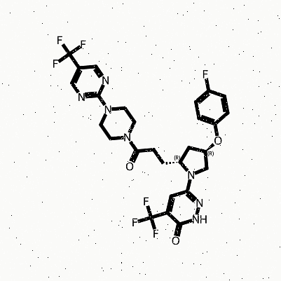 O=C(CC[C@@H]1C[C@@H](Oc2ccc(F)cc2)CN1c1cc(C(F)(F)F)c(=O)[nH]n1)N1CCN(c2ncc(C(F)(F)F)cn2)CC1